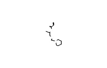 C=CC(=O)OC(C)COC(=O)N1CCCCC1